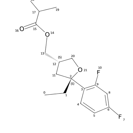 CC[C@@]1(c2ccc(F)cc2F)C[C@H](COC(=O)C(C)C)CO1